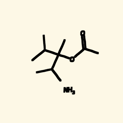 CC(=O)OC(C)(C(C)C)C(C)C.N